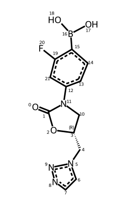 O=C1O[C@@H](Cn2ccnn2)CN1c1ccc(B(O)O)c(F)c1